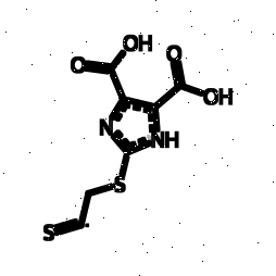 O=C(O)c1nc(SC[C]=S)[nH]c1C(=O)O